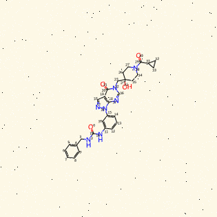 O=C(NCc1ccccc1)Nc1cccc(-n2ncc3c(=O)n(CC4(O)CCN(C(=O)C5CC5)CC4)cnc32)c1